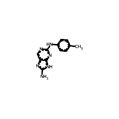 Cc1ccc(Nc2ncc3nc(N)[nH]c3n2)cc1